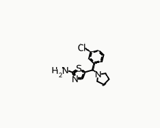 Nc1ncc(C(c2cccc(Cl)c2)N2CCCC2)s1